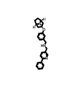 CN1[C@@H]2CC[C@H]1C[C@H](Oc1cccc(CNCc3ccc(-c4ccccc4)nc3)c1)C2